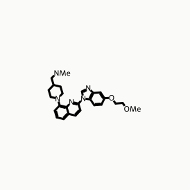 CNCC1CCN(c2cccc3ccc(-n4cnc5cc(OCCOC)ccc54)nc23)CC1